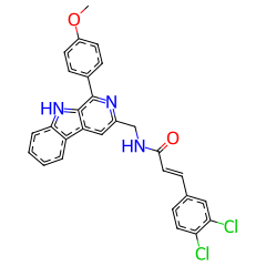 COc1ccc(-c2nc(CNC(=O)/C=C/c3ccc(Cl)c(Cl)c3)cc3c2[nH]c2ccccc23)cc1